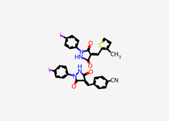 Cc1ccsc1/C=C1/C(=O)NN(c2ccc(I)cc2)C1=O.N#Cc1ccc(/C=C2\C(=O)NN(c3ccc(I)cc3)C2=O)cc1